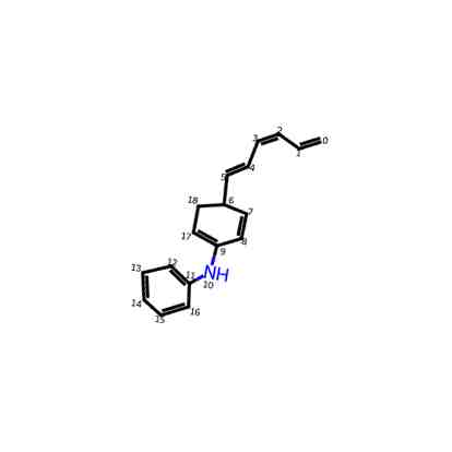 C=C/C=C\C=C\C1C=CC(Nc2ccccc2)=CC1